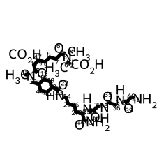 C[C@@H](C(=O)O)N(C)C(=O)CCC[C@H](CC(=O)N(C)CC1CCC(C(=O)NCCCCC(NC(=O)CNC(=O)CNC(=O)CN)C(N)=O)CC1)C(=O)O